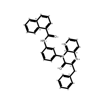 O=C(Nc1cccc(-n2c(=O)c(Cc3ccccc3)nc3cccnc32)c1)c1cccc2ccccc12